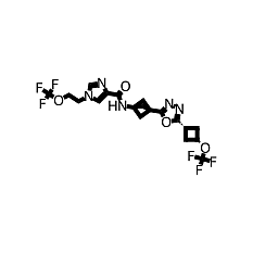 O=C(NC12CC(c3nnc([C@H]4C[C@@H](OC(F)(F)F)C4)o3)(C1)C2)c1cn(CCOC(F)(F)F)cn1